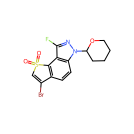 O=S1(=O)C=C(Br)c2ccc3c(c(F)nn3C3CCCCO3)c21